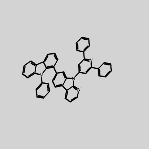 c1ccc(-c2cc(-n3c4cc(-c5cccc6c7ccccc7n(-c7ccccc7)c56)ccc4c4cccnc43)cc(-c3ccccc3)n2)cc1